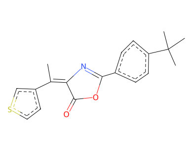 C/C(=C1\N=C(c2ccc(C(C)(C)C)cc2)OC1=O)c1ccsc1